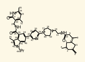 C=C1CC(C)CC(C(C)CC(=O)NCCN2CCN(c3ccc(-c4cc(C(=O)NCc5c(C)cc(C)[nH]c5=O)c5c(C)cn(C(C)C)c5c4)cn3)CC2)C1